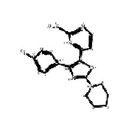 CSc1nccc(-c2oc(N3CCCCC3)nc2-c2ccc(F)cc2)n1